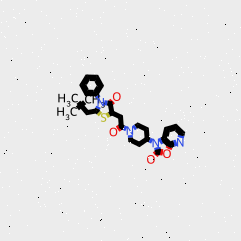 CC(C)(C)CC1SC(CC(=O)N2CCC(n3c(=O)oc4ncccc43)CC2)C(=O)N1c1ccccc1